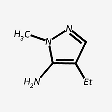 CCc1cnn(C)c1N